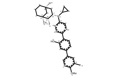 COc1ncc(-c2ccc(-c3ncc(N(C4CC4)[C@H]4C[C@@H]5CCC[C@@](C)(C5)[C@H]4F)nn3)c(O)c2)cc1F